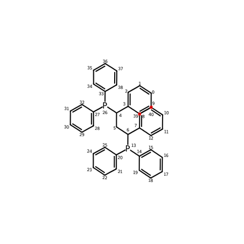 c1ccc(C(CC(c2ccccc2)P(c2ccccc2)c2ccccc2)P(c2ccccc2)c2ccccc2)cc1